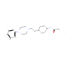 Cc1c(F)c(F)cc(N2CCN(CCC3CCC(NC(=O)CC#N)CC3)CC2)c1F